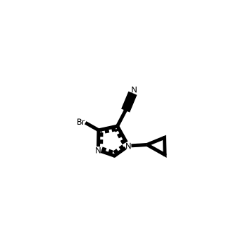 N#Cc1c(Br)ncn1C1CC1